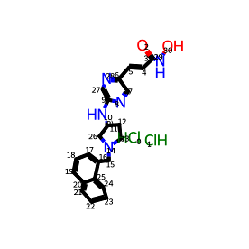 Cl.Cl.O=C(C=Cc1cnc(N[C@@H]2CCN(Cc3cccc4ccccc34)C2)cn1)NO